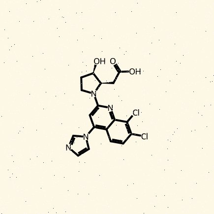 O=C(O)C[C@@H]1[C@H](O)CCN1c1cc(-n2ccnc2)c2ccc(Cl)c(Cl)c2n1